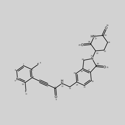 O=C(C#Cc1c(F)ccnc1F)NCc1ccc2c(c1)CN(C1CCC(=O)NC1=O)C2=O